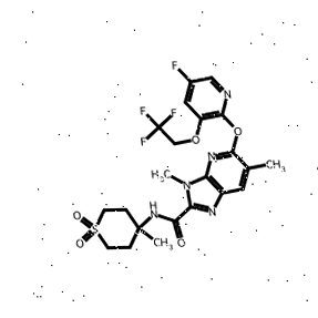 Cc1cc2nc(C(=O)NC3(C)CCS(=O)(=O)CC3)n(C)c2nc1Oc1ncc(F)cc1OCC(F)(F)F